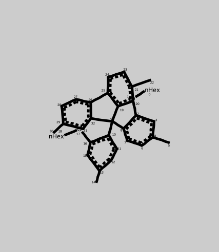 CCCCCCOc1cc(C)ccc1C1(c2ccc(C)cc2OCCCCCC)c2cc(C)ccc2-c2ccc(C)cc21